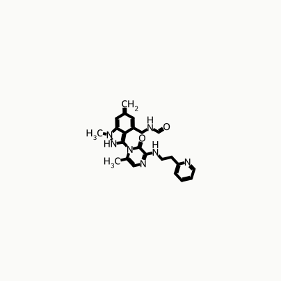 C=c1cc(CNC=O)c2c(c1)N(C)NC=2n1c(C)cnc(NCCc2ccccn2)c1=O